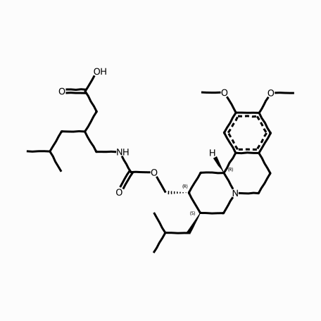 COc1cc2c(cc1OC)[C@H]1C[C@@H](COC(=O)NCC(CC(=O)O)CC(C)C)[C@H](CC(C)C)CN1CC2